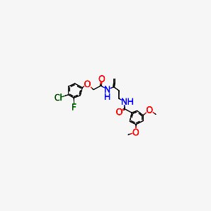 C=C(CCNC(=O)c1cc(OC)cc(OC)c1)NC(=O)COc1ccc(Cl)c(F)c1